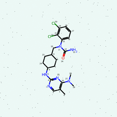 Cc1cnc(NC2CCC(CN(C(N)=O)c3cccc(Cl)c3Cl)CC2)nc1N(C)C